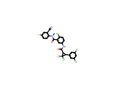 CN(C(=O)c1cc(NC(=O)C2C(c3cc(Cl)cc(Cl)c3)C2(Cl)Cl)ccc1Cl)c1ccc(F)cc1C#N